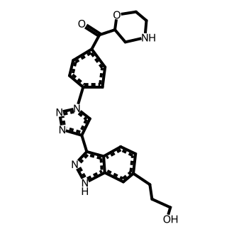 O=C(c1ccc(-n2cc(-c3n[nH]c4cc(CCCO)ccc34)nn2)cc1)C1CNCCO1